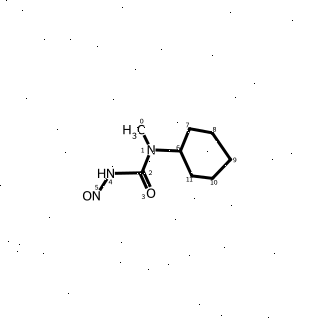 CN(C(=O)NN=O)C1CCCCC1